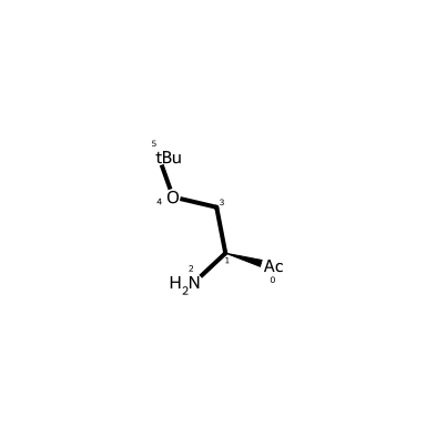 CC(=O)[C@@H](N)COC(C)(C)C